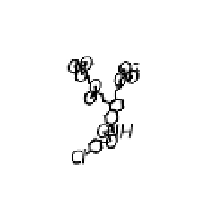 O=C(CCc1c(CCO[N+](=O)[O-])ccc2c1CCC(NS(=O)(=O)c1ccc(Cl)cc1)C2)OCCO[N+](=O)[O-]